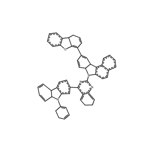 C1=CCCC(N2c3cc(-c4nc(N5c6ccc7ccccc7c6C6C=C(C7=C8Oc9ccccc9C8CC=C7)C=CC65)nc5c4=CCCC=5)ccc3C3C=CC=CC32)=C1